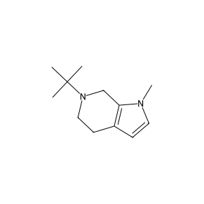 Cn1ccc2c1CN(C(C)(C)C)CC2